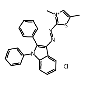 Cc1c[n+](C)c(/N=N/c2c(-c3ccccc3)n(-c3ccccc3)c3ccccc23)s1.[Cl-]